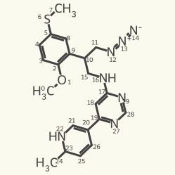 COc1ccc(SC)cc1C(CN=[N+]=[N-])CNc1cc(C2=CNC(C)C=C2)ncn1